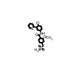 COc1cc(CS(C)(=O)=O)ccc1C(=O)Nc1ccc(Cl)c(-c2ccccn2)c1